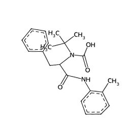 Cc1ccccc1NC(=O)C(Cc1ccccc1)N(C(=O)O)C(C)(C)C